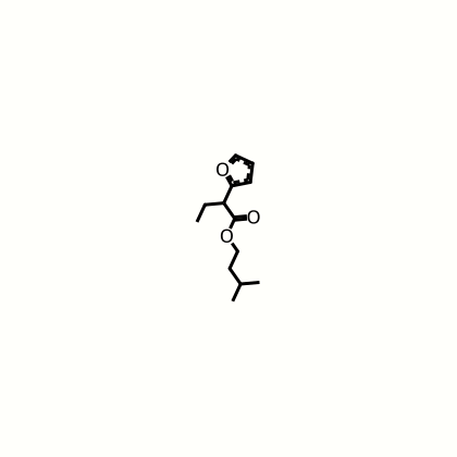 CCC(C(=O)OCCC(C)C)c1ccco1